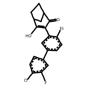 CCc1ccc(-c2ccc(Cl)c(F)c2)cc1C1=C(O)C2CCC(C2)C1=O